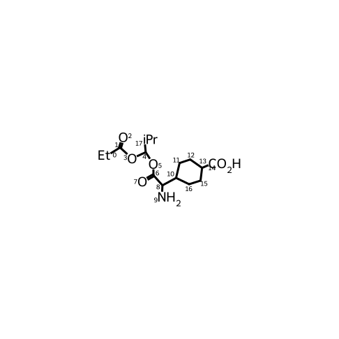 CCC(=O)OC(OC(=O)C(N)C1CCC(C(=O)O)CC1)C(C)C